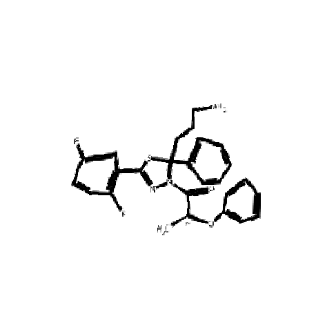 C[C@H](Oc1ccccc1)C(=O)N1N=C(c2cc(F)ccc2F)SC1(CCCN)c1ccccc1